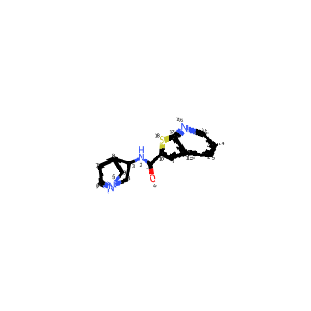 O=C(NC1CN2CCC1C2)c1cc2cccnc2s1